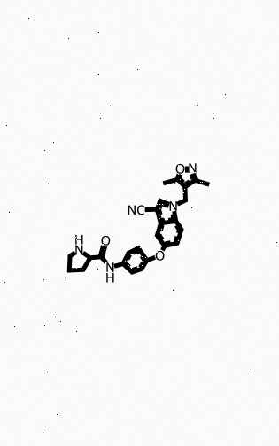 Cc1noc(C)c1Cn1cc(C#N)c2cc(Oc3ccc(NC(=O)C4CCCN4)cc3)ccc21